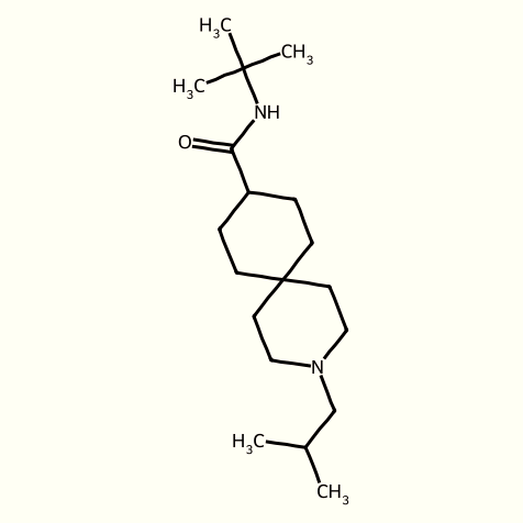 CC(C)CN1CCC2(CCC(C(=O)NC(C)(C)C)CC2)CC1